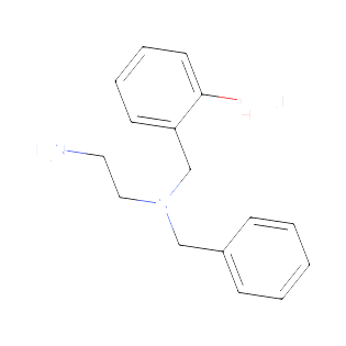 Cl.NCCN(Cc1ccccc1)Cc1ccccc1O